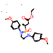 C=C(CC(=O)OCC)P1(=O)N(c2ccc(OC)cc2)CCN1c1ccc(OC)cc1